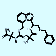 CN(C(=O)OCc1cccc2nnc([C@@H](COCc3ccccc3)NC(=O)C(C)(C)N)n12)C(C)(C)C(N)=O